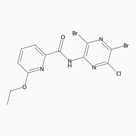 CCOc1cccc(C(=O)Nc2nc(Cl)c(Br)nc2Br)n1